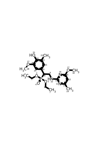 CCOP(=O)(OCC)C(CNc1nc(C)cc(OC)n1)c1cc(C)c(O)c(OC)c1